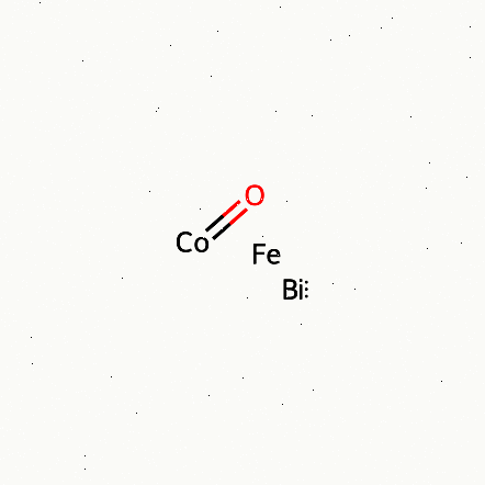 [Bi].[Fe].[O]=[Co]